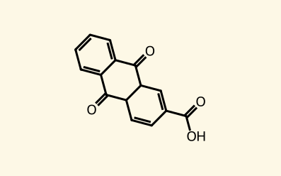 O=C(O)C1=CC2C(=O)c3ccccc3C(=O)C2C=C1